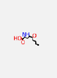 C=CCCC(=O)[C@H](C)CC(=N)C(=O)O